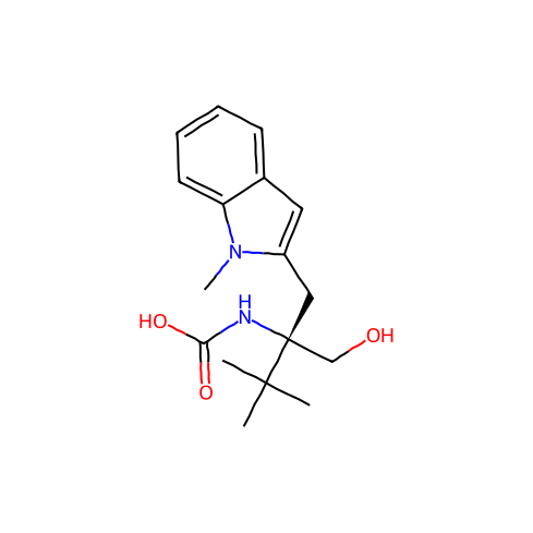 Cn1c(C[C@](CO)(NC(=O)O)C(C)(C)C)cc2ccccc21